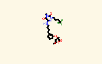 CCCC(C)(Oc1cccc(CCCCNc2nn(CCCC(F)(F)F)c(=O)n(C)c2=O)c1)C(=O)O